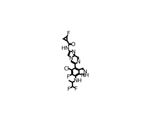 CC(Nc1c(F)c(Cl)c(-c2cn3cc(NC(=O)C4CC4F)nc3cn2)c2cn[nH]c12)C(F)F